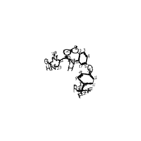 COc1ccc(Oc2ccc(C(F)(F)F)cc2)cc1NC(=O)C1CNC(=O)N1C